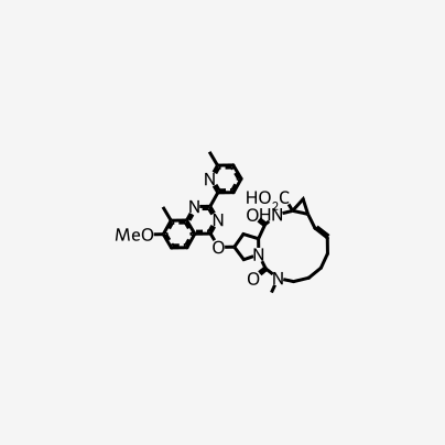 COc1ccc2c(OC3CC4C(=O)NC5(C(=O)O)CC5/C=C/CCCCN(C)C(=O)N4C3)nc(-c3cccc(C)n3)nc2c1C